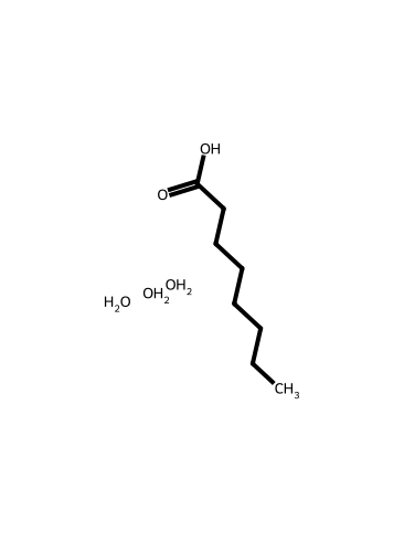 CCCCCCCC(=O)O.O.O.O